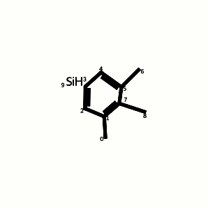 Cc1cccc(C)c1C.[SiH4]